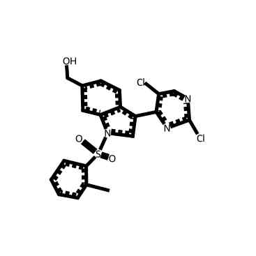 Cc1ccccc1S(=O)(=O)n1cc(-c2nc(Cl)ncc2Cl)c2ccc(CO)cc21